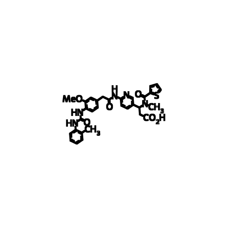 COc1cc(CC(=O)Nc2ccc(C(CC(=O)O)N(C)C(=O)c3cccs3)cn2)ccc1NC(=O)Nc1ccccc1C